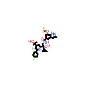 Cc1cc2cc(C(=O)NC[C@](O)(c3cc(C(C)(C)O)c(F)c(-c4ccc(F)cc4)n3)C3CC3)cc(OC(F)F)c2nn1